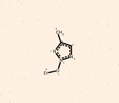 CCOn1ncc(C)n1